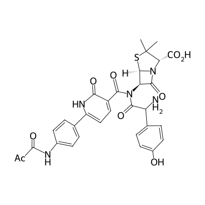 CC(=O)C(=O)Nc1ccc(-c2ccc(C(=O)N(C(=O)C(N)c3ccc(O)cc3)[C@@H]3C(=O)N4[C@@H]3SC(C)(C)[C@@H]4C(=O)O)c(=O)[nH]2)cc1